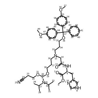 COC(=O)[C@H](Cc1c[nH]cn1)NC(=O)CN(CCCOP(OCCC#N)N(C(C)C)C(C)C)CCCOC(c1ccccc1)(c1ccc(OC)cc1)c1ccc(OC)cc1